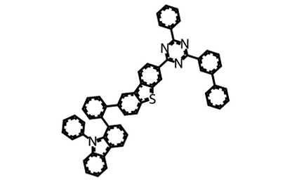 c1ccc(-c2cccc(-c3nc(-c4ccccc4)nc(-c4ccc5c(c4)sc4ccc(-c6ccccc6-c6cccc7c8ccccc8n(-c8ccccc8)c67)cc45)n3)c2)cc1